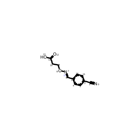 N#Cc1ccc(/C=N/OCCC(=O)O)cc1